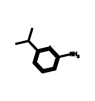 CC(C)c1[c]c(N)ccc1